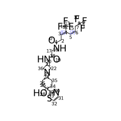 O=C(C/C=C(\C=C/CC(F)(F)F)C(F)(F)F)NCC(=O)NC1CN(C2CCC(O)(c3nccs3)CC2)C1